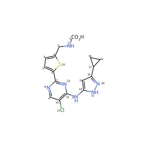 O=C(O)NCc1ccc(-c2ncc(Cl)c(Nc3cc(C4CC4)n[nH]3)n2)s1